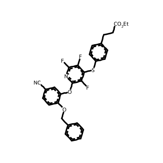 CCOC(=O)CCc1ccc(Sc2c(F)c(F)nc(Oc3cc(C#N)ccc3OCc3ccccc3)c2F)cc1